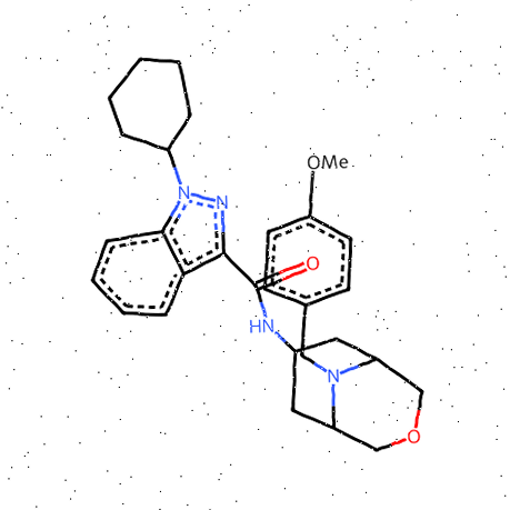 COc1ccc(CN2C3COCC2CC(NC(=O)c2nn(C4CCCCC4)c4ccccc24)C3)cc1